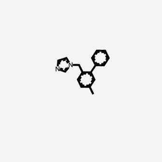 Cc1ccc(Cn2ccnc2)c(-c2ccccc2)c1